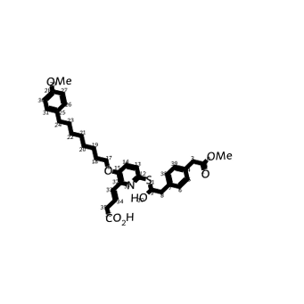 COC(=O)Cc1ccc(CC(O)Sc2ccc(OCCCCCCCCc3ccc(OC)cc3)c(C=CCC(=O)O)n2)cc1